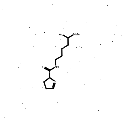 CNC(CCCCNC(=O)C1CCC=N1)C(C)=O